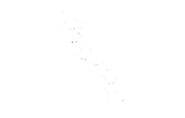 O=C(O)c1ccc(N2CCN(c3ccc(C(=O)Nc4ccc(I)c(Cl)c4)cn3)CC2)cc1